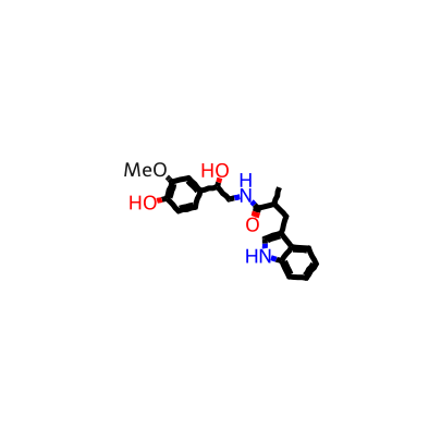 COc1cc(C(O)CNC(=O)C(C)Cc2c[nH]c3ccccc23)ccc1O